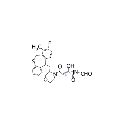 Cc1c(F)ccc2c1CSc1ccccc1C2CC1COCCN1C(=O)/C=C(\O)C(=O)NC=O